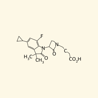 CC1(C)C(=O)N(C2CCN(CCCC(=O)O)C2=O)c2c(F)cc(C3CC3)cc21